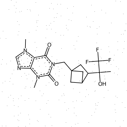 Cn1cnc2c1c(=O)n(CC13CC(C1)C(C(C)(O)C(F)(F)F)C3)c(=O)n2C